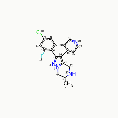 CC1Cn2nc(-c3ccc(Cl)cc3F)c(-c3ccncc3)c2CN1